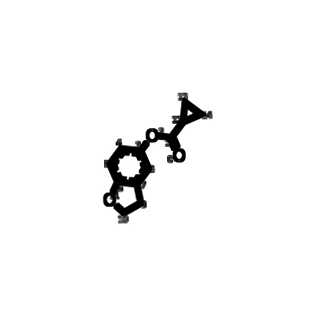 O=C(Oc1ccc2c(c1)CCO2)C1CC1